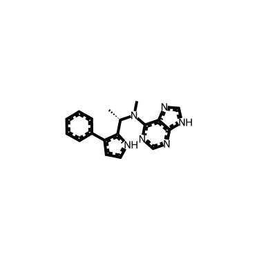 C[C@@H](c1[nH]ccc1-c1ccccc1)N(C)c1ncnc2[nH]cnc12